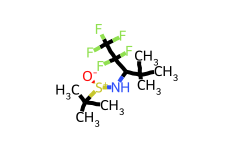 CC(C)(C)C(N[S@+]([O-])C(C)(C)C)C(F)(F)C(F)(F)F